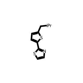 CC(C)Cc1ccc(-c2nccs2)s1